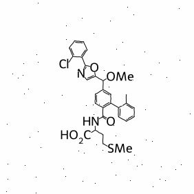 COC(c1ccc(C(=O)NC(CCSC)C(=O)O)c(-c2ccccc2C)c1)c1cnc(-c2ccccc2Cl)o1